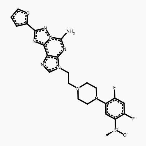 C[S@+]([O-])c1cc(N2CCN(CCn3cnc4c3nc(N)n3nc(-c5ccco5)nc43)CC2)c(F)cc1F